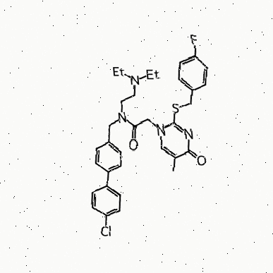 CCN(CC)CCN(Cc1ccc(-c2ccc(Cl)cc2)cc1)C(=O)Cn1cc(C)c(=O)nc1SCc1ccc(F)cc1